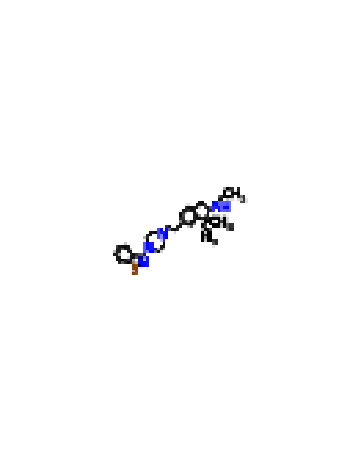 CCNC1Cc2ccc(CCN3CCN(c4nsc5ccccc45)CC3)cc2C1(C)C